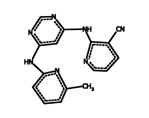 Cc1cccc(Nc2cc(Nc3ncccc3C#N)ncn2)n1